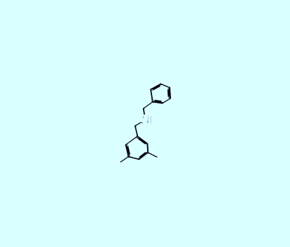 Cc1cc(C)cc(CN[CH]c2ccccc2)c1